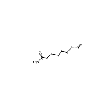 C=CC[CH]CCCCC(N)=O